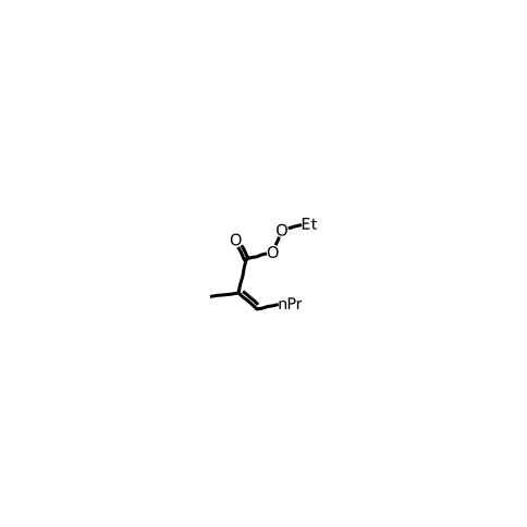 CCCC=C(C)C(=O)OOCC